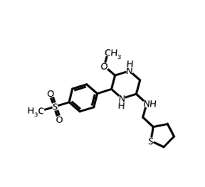 COC1NCC(NCC2CCCS2)NC1c1ccc(S(C)(=O)=O)cc1